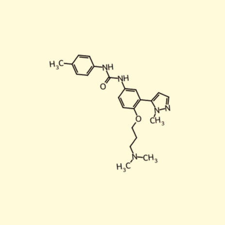 Cc1ccc(NC(=O)Nc2ccc(OCCCN(C)C)c(-c3ccnn3C)c2)cc1